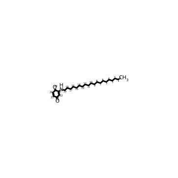 CCCCCCCCCCCCCCCCCCCCNC1=CC(=O)C=CC1=O